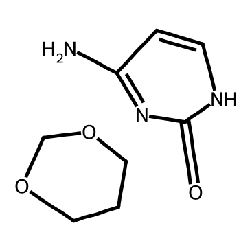 C1COCOC1.Nc1cc[nH]c(=O)n1